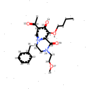 CCCCOc1c2n(cc(C(C)=O)c1=O)[C@@H](Cc1ccccc1)CN(CCOC)C2=O